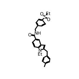 CCn1c(Cc2ccc(C)cc2)cc2cc(C(=O)NCc3ccc(S(=O)(=O)CC)cc3)ccc21